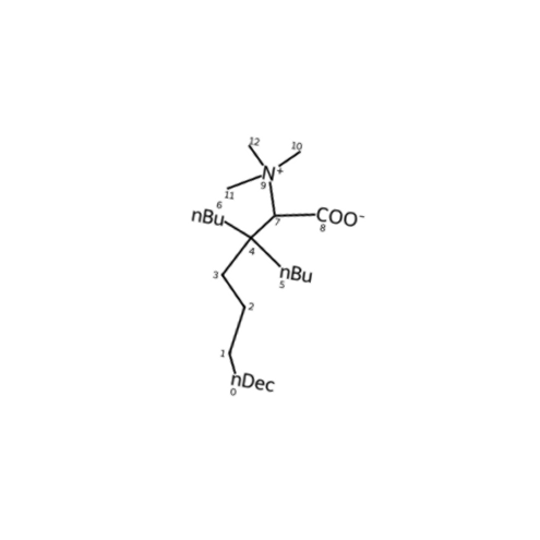 CCCCCCCCCCCCCC(CCCC)(CCCC)C(C(=O)[O-])[N+](C)(C)C